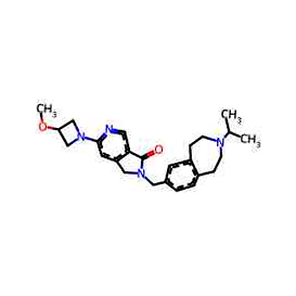 COC1CN(c2cc3c(cn2)C(=O)N(Cc2ccc4c(c2)CCN(C(C)C)CC4)C3)C1